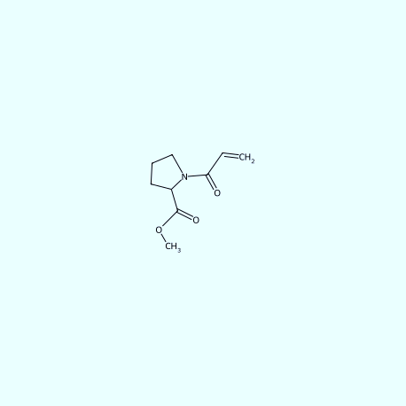 C=CC(=O)N1CCCC1C(=O)OC